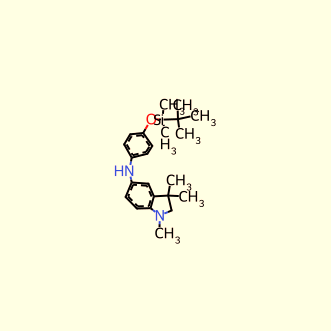 CN1CC(C)(C)c2cc(Nc3ccc(O[Si](C)(C)C(C)(C)C)cc3)ccc21